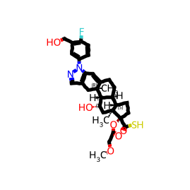 COCC(=O)O[C@]1(C(=O)S)CC[C@H]2[C@@H]3CCC4=Cc5c(cnn5-c5ccc(F)c(CO)c5)C[C@]4(C)[C@H]3[C@@H](O)C[C@@]21C